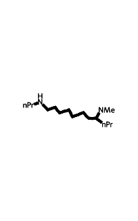 CCCNCCCCCCCC(CCC)NC